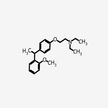 CCN(CC)CCOc1ccc(C(C)c2ccccc2OC)cc1